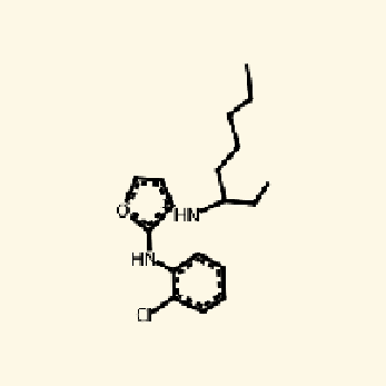 CCCCCC(CC)Nc1ccoc1Nc1ccccc1Cl